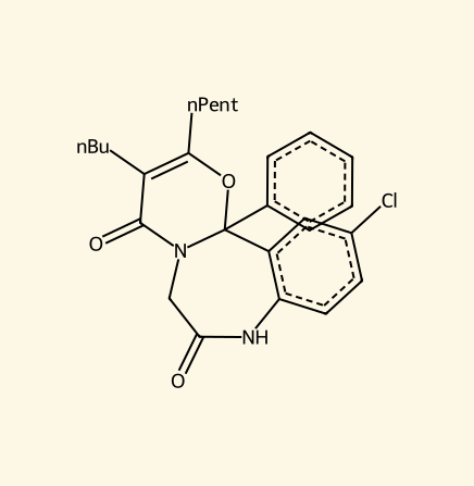 CCCCCC1=C(CCCC)C(=O)N2CC(=O)Nc3ccc(Cl)cc3C2(c2ccccc2)O1